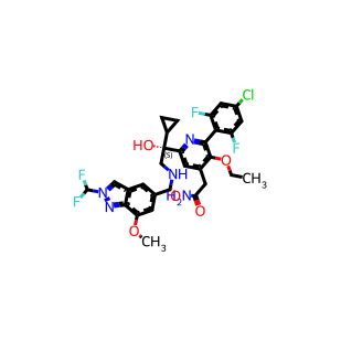 CCOc1c(CC(N)=O)cc([C@@](O)(CNC(=O)c2cc(OC)c3nn(C(F)F)cc3c2)C2CC2)nc1-c1c(F)cc(Cl)cc1F